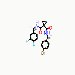 C[C@H](NC(=O)C1(C(=O)N[C@H](C)c2ccc(Br)cc2)CC1)c1ccc(F)c(F)c1